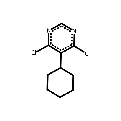 Clc1ncnc(Cl)c1C1CCCCC1